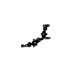 CCNc1ccc(C2=CN3C(=O)c4cc(OC)c(OCCCOc5cc6c(cc5OC)C(=O)N5C=C(c7ccc(OC)cc7)C[C@H]5C=N6)cc4N=CC3C2)cc1